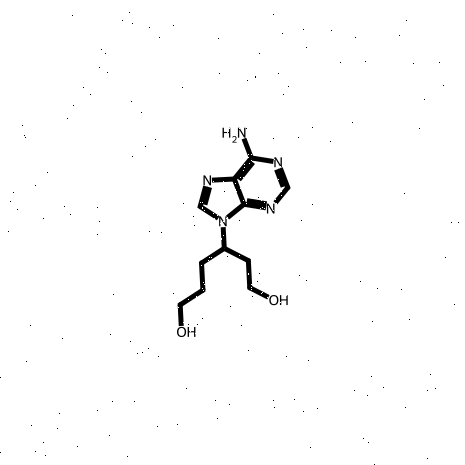 Nc1ncnc2c1ncn2C(CCO)CCCO